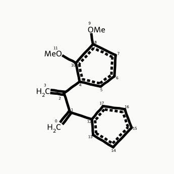 C=C(C(=C)c1cccc(OC)c1OC)c1ccccc1